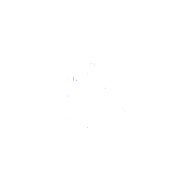 Nc1c(Br)cc(Cc2ccccn2)cc1Oc1cccs1